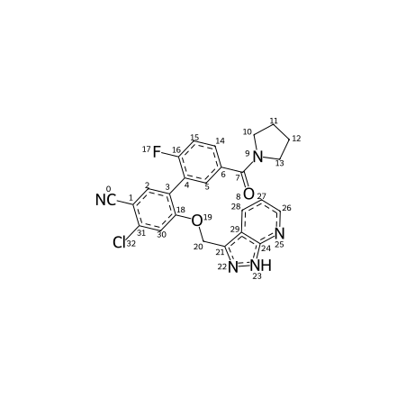 N#Cc1cc(-c2cc(C(=O)N3CCCC3)ccc2F)c(OCc2n[nH]c3ncccc23)cc1Cl